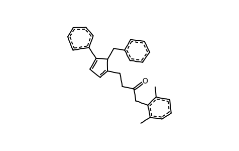 Cc1cccc(C)c1CC(=O)CCC1=CC=C(c2ccccc2)C1Cc1ccccc1